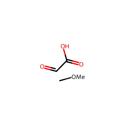 COC.O=CC(=O)O